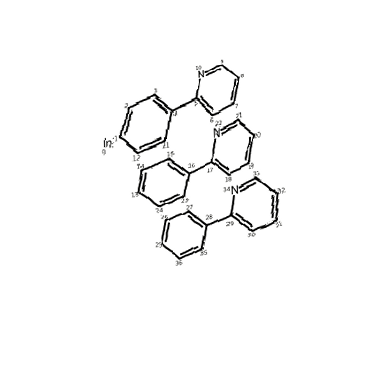 [In].c1ccc(-c2ccccn2)cc1.c1ccc(-c2ccccn2)cc1.c1ccc(-c2ccccn2)cc1